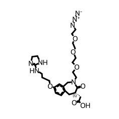 [N-]=[N+]=NCCOCCOCCOCCN1Cc2cc(OCCCNC3=NCCN3)ccc2C[C@@H](CC(=O)O)C1=O